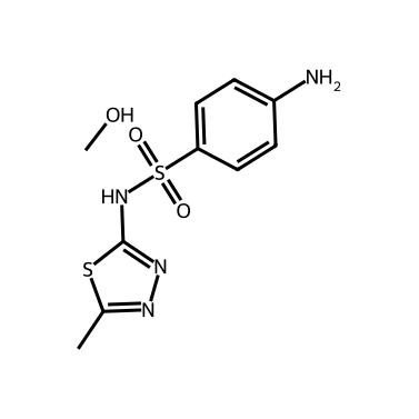 CO.Cc1nnc(NS(=O)(=O)c2ccc(N)cc2)s1